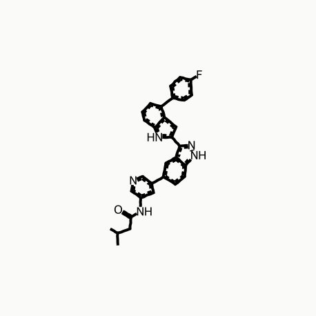 CC(C)CC(=O)Nc1cncc(-c2ccc3[nH]nc(-c4cc5c(-c6ccc(F)cc6)cccc5[nH]4)c3c2)c1